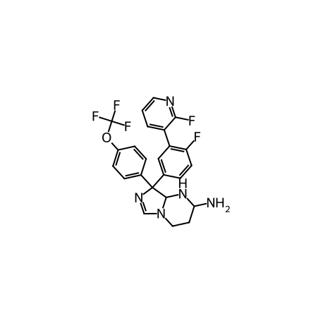 NC1CCN2C=NC(c3ccc(OC(F)(F)F)cc3)(c3ccc(F)c(-c4cccnc4F)c3)C2N1